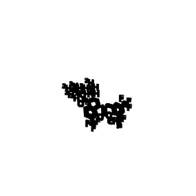 [2H]C([2H])([2H])C([2H])([2H])OC(=O)N1c2ccc(C(F)(F)F)cc2[C@@H](N(Cc2cc(C(F)(F)F)cc(C(F)(F)F)c2)C(=O)OC)C[C@H]1C([2H])([2H])C([2H])([2H])[2H]